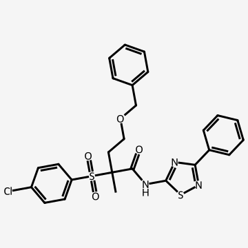 CC(CCOCc1ccccc1)(C(=O)Nc1nc(-c2ccccc2)ns1)S(=O)(=O)c1ccc(Cl)cc1